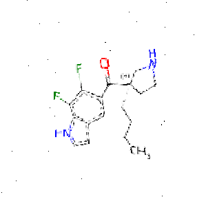 CCCC[C@@]1(C(=O)c2cc3cc[nH]c3c(F)c2F)CCNC1